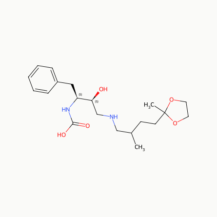 CC(CCC1(C)OCCO1)CNC[C@H](O)[C@H](Cc1ccccc1)NC(=O)O